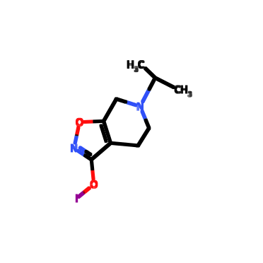 CC(C)N1CCc2c(OI)noc2C1